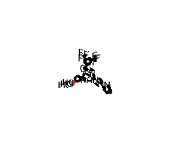 Cl.Cl.Cl.O=C(CN1CCN(C(=O)c2cc(C(F)(F)F)cc(C(F)(F)F)c2)C(Cc2c[nH]c3ccccc23)C1)N1CCN(c2ccccn2)CC1